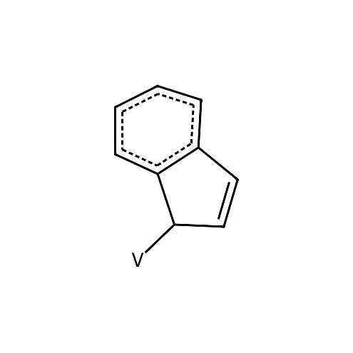 [V][CH]1C=Cc2ccccc21